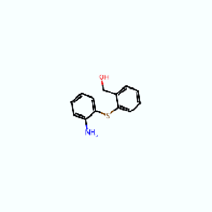 Nc1ccccc1Sc1ccccc1CO